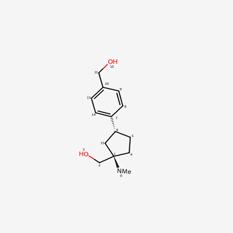 CN[C@]1(CO)CC[C@@H](c2ccc(CO)cc2)C1